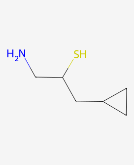 NCC(S)CC1CC1